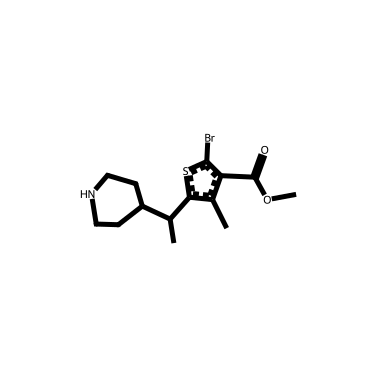 COC(=O)c1c(Br)sc(C(C)C2CCNCC2)c1C